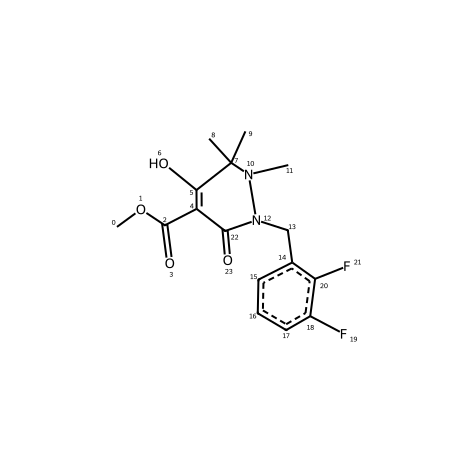 COC(=O)C1=C(O)C(C)(C)N(C)N(Cc2cccc(F)c2F)C1=O